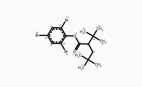 CC(C)(C)CC(C(=O)Oc1c(Br)cc(Br)cc1Br)C(C)(C)C